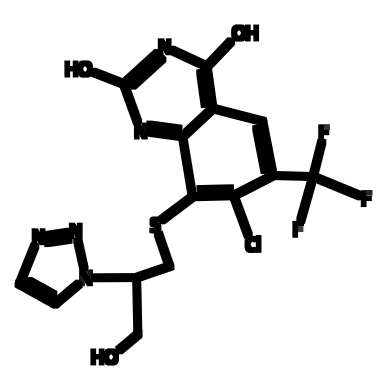 OCC(CSc1c(Cl)c(C(F)(F)F)cc2c(O)nc(O)nc12)n1ccnn1